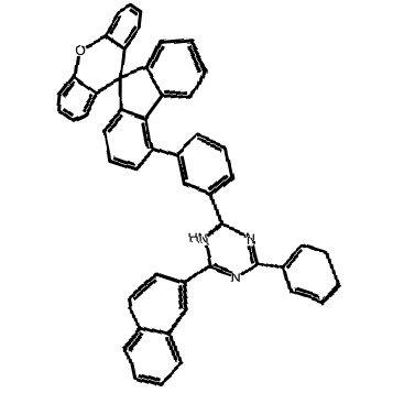 C1=CC(C2=NC(c3cccc(-c4cccc5c4-c4ccccc4C54c5ccccc5Oc5ccccc54)c3)NC(c3ccc4ccccc4c3)=N2)=CCC1